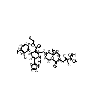 CCOC(=O)C1=C(CN2CCN3C(=S)N(CC(C)(C)C(=O)O)CC[C@@H]3C2)NC(c2nccs2)=C[C@H]1c1cccc(F)c1C